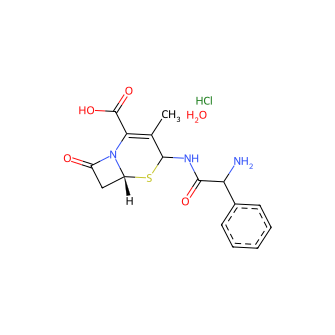 CC1=C(C(=O)O)N2C(=O)C[C@H]2SC1NC(=O)C(N)c1ccccc1.Cl.O